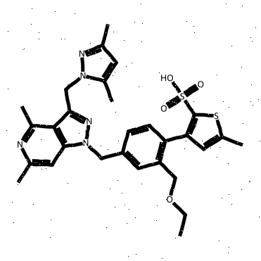 CCOCc1cc(Cn2nc(Cn3nc(C)cc3C)c3c(C)nc(C)cc32)ccc1-c1cc(C)sc1S(=O)(=O)O